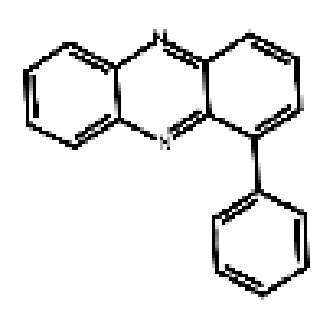 [c]1ccc(-c2cccc3nc4ccccc4nc23)cc1